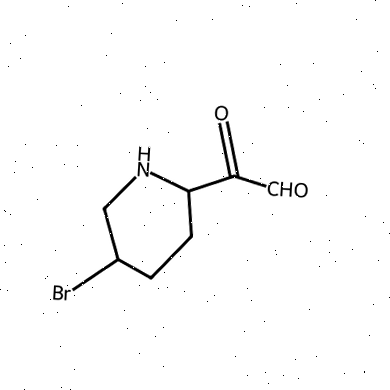 O=CC(=O)C1CCC(Br)CN1